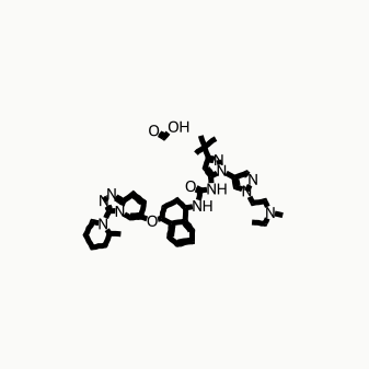 CCN(C)CCn1cc(-n2nc(C(C)(C)C)cc2NC(=O)NC2CCC(Oc3ccc4nnc(N5CCCCC5C)n4c3)c3ccccc32)cn1.O=CO